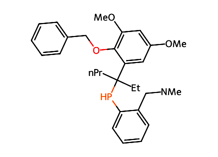 CCCC(CC)(Pc1ccccc1CNC)c1cc(OC)cc(OC)c1OCc1ccccc1